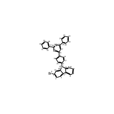 Brc1ccc2c3cccnc3n(-c3ccc(-c4cc(-c5ccccc5)nc(-c5ccccc5)n4)cc3)c2c1